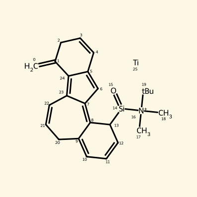 C=C1CC=CC2=CC3=C4C(=CC=CC4[Si](=O)[N+](C)(C)C(C)(C)C)CC=CC3=C12.[Ti]